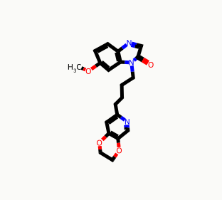 COc1ccc2ncc(=O)n(CCCCc3cc4c(cn3)OCCO4)c2c1